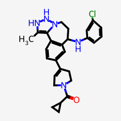 CC1=C2c3ccc(C4=CCN(C(=O)C5CC5)CC4)cc3C(Nc3cccc(Cl)c3)CCN2NN1